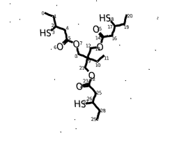 CCC(S)CC(=O)OCC(CC)(COC(=O)CC(S)CC)COC(=O)CC(S)CC